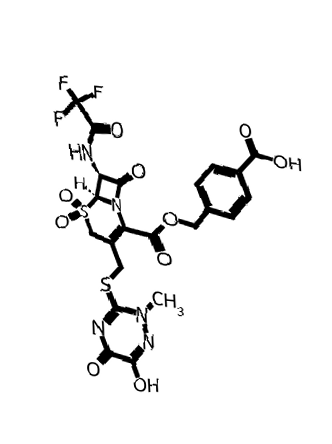 Cn1nc(O)c(=O)nc1SCC1=C(C(=O)OCc2ccc(C(=O)O)cc2)N2C(=O)[C@H](NC(=O)C(F)(F)F)[C@@H]2S(=O)(=O)C1